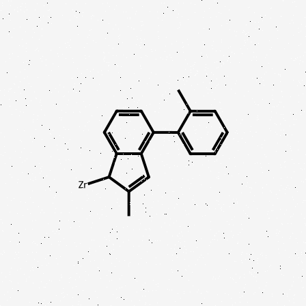 CC1=Cc2c(-c3ccccc3C)cccc2[CH]1[Zr]